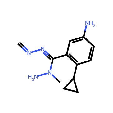 C=N/N=C(/c1cc(N)ccc1C1CC1)N(C)N